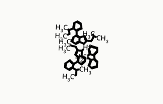 CCC(C)c1ccccc1-c1cccc2c1C=C(CC(C)C)[CH]2[Hf]([c]1cccc2c1[SiH2]c1ccccc1-2)[CH]1C(CC(C)C)=Cc2c(-c3ccccc3C(C)CC)cccc21